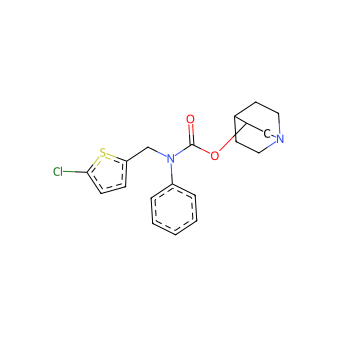 O=C(OC1CN2CCC1CC2)N(Cc1ccc(Cl)s1)c1ccccc1